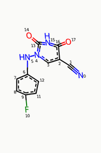 N#Cc1cn(Nc2ccc(F)cc2)c(=O)[nH]c1=O